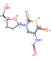 O=CNc1cn([C@H]2CC[C@@H](CO)O2)c(=O)sc1=O